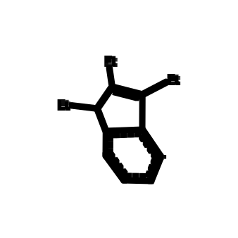 CCC1=C(CC)C(CC)c2ccc[c]c21